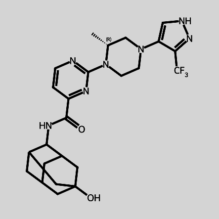 C[C@@H]1CN(c2c[nH]nc2C(F)(F)F)CCN1c1nccc(C(=O)NC2C3CC4CC2CC(O)(C4)C3)n1